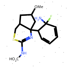 COC1CC2CSC(NC(=O)O)=NC2(C2C=CC=CC2(N)F)C1